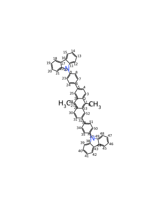 Cc1c2ccc(-c3ccc(-n4c5ccccc5c5ccccc54)cc3)cc2c(C)c2ccc(-c3ccc(-n4c5ccccc5c5ccccc54)cc3)cc12